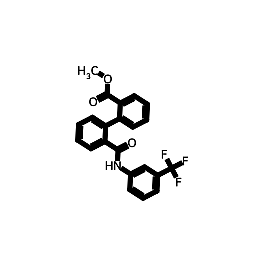 COC(=O)c1ccccc1-c1ccccc1C(=O)Nc1cccc(C(F)(F)F)c1